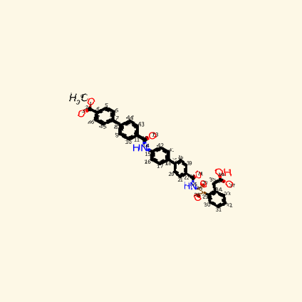 COC(=O)c1ccc(-c2ccc(C(=O)Nc3ccc(-c4ccc(C(=O)NS(=O)(=O)c5ccccc5CC(=O)O)cc4)cc3)cc2)cc1